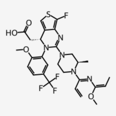 C=C/C(=N\C(=C/C)OC)N1CCN(C2=Nc3c(csc3F)[C@@H](CC(=O)O)N2c2cc(C(F)(F)F)ccc2OC)C[C@H]1C